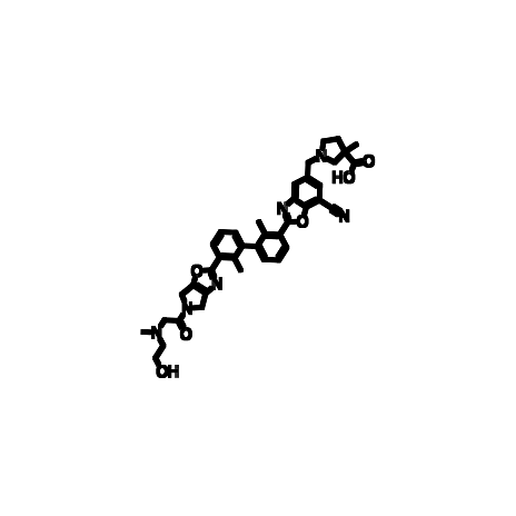 Cc1c(-c2nc3c(o2)CN(C(=O)CN(C)CCO)C3)cccc1-c1cccc(-c2nc3cc(CN4CCC(C)(C(=O)O)C4)cc(C#N)c3o2)c1C